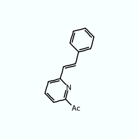 CC(=O)c1cccc(/C=C/c2ccccc2)n1